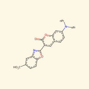 CCCN(CCC)c1ccc2cc(-c3nc4cc(C(=O)O)ccc4o3)c(=O)oc2c1